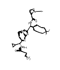 CC(C)n1nccc1C(=O)N[C@H](c1cn2ccc([C@H](NC(=O)CCC(F)(F)F)C3CC3)nc2n1)C1CCC(F)(F)CC1